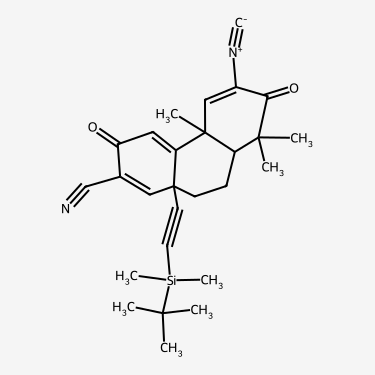 [C-]#[N+]C1=CC2(C)C3=CC(=O)C(C#N)=CC3(C#C[Si](C)(C)C(C)(C)C)CCC2C(C)(C)C1=O